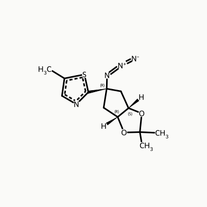 Cc1cnc([C@@]2(N=[N+]=[N-])C[C@@H]3OC(C)(C)O[C@@H]3C2)s1